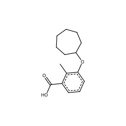 Cc1c(OC2CCCCCC2)cccc1C(=O)O